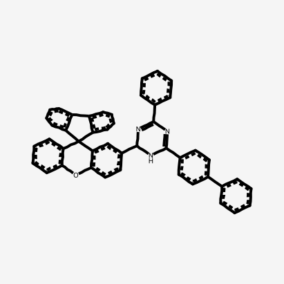 c1ccc(C2=NC(c3ccc4c(c3)C3(c5ccccc5O4)c4ccccc4-c4ccccc43)NC(c3ccc(-c4ccccc4)cc3)=N2)cc1